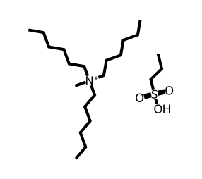 CCCCCC[N+](C)(CCCCCC)CCCCCC.CCCS(=O)(=O)O